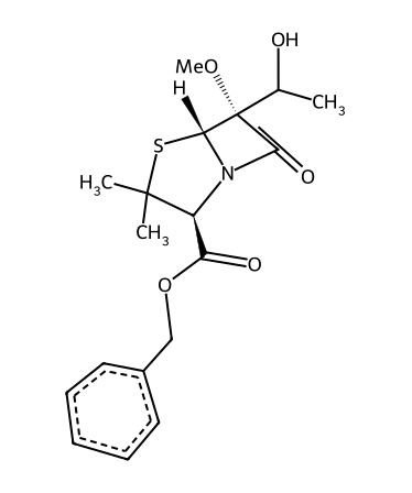 CO[C@]1(C(C)O)C(=O)N2[C@@H](C(=O)OCc3ccccc3)C(C)(C)S[C@@H]21